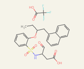 CCC(Cc1cccc2ccccc12)Oc1ccccc1S(=O)(=O)NC(C=O)CC(=O)O.O=C(O)C(F)(F)F